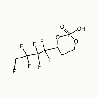 O=P1(O)OCCC(C(F)(F)C(F)(F)C(F)(F)CF)O1